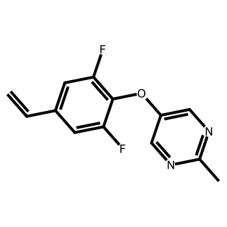 C=Cc1cc(F)c(Oc2cnc(C)nc2)c(F)c1